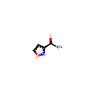 CNC(=O)c1c[c]on1